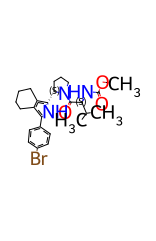 COC(=O)N[C@H](C(=O)N1CCC[C@H]1c1[nH]c(-c2ccc(Br)cc2)c2c1CCCC2)C(C)C